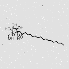 CCCCCCCCCCCCCCCCC(=O)C[C@]1(O)O[C@H](CO)[C@@H](O)[C@H](O)[C@H]1O